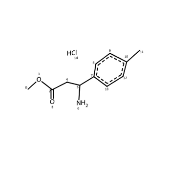 COC(=O)CC(N)c1ccc(C)cc1.Cl